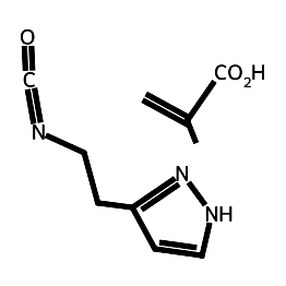 C=C(C)C(=O)O.O=C=NCCc1cc[nH]n1